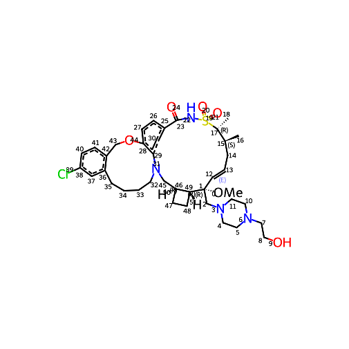 CO[C@@]1(CN2CCN(CCO)CC2)/C=C/C[C@H](C)[C@@H](C)S(=O)(=O)NC(=O)c2ccc3c(c2)N(CCCCc2cc(Cl)ccc2CO3)C[C@@H]2CC[C@H]21